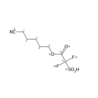 N#CCCCCCOC(=O)C(F)(F)S(=O)(=O)O